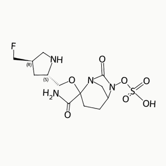 NC(=O)C1(OC[C@@H]2C[C@@H](CF)CN2)CCC2CN1C(=O)N2OS(=O)(=O)O